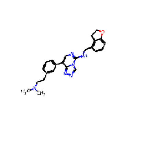 CN(C)CCc1cccc(-c2cnc(NCc3cccc4c3CCO4)n3cnnc23)c1